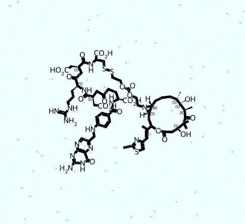 C/C(=C\c1csc(C)n1)C1C[C@H]2[C@@H](CCC[C@H](C)[C@H](O)[C@@H](C)C(=O)C(C)(C)[C@@H](O)CC(=O)O1)N2CCOC(=O)OCCSSCC(NC(=O)[C@H](CC(=O)O)CC(=O)[C@H](CCCNC(=N)N)NC(=O)[C@H](CC(=O)O)CC(=O)CC[C@H](NC(=O)c1ccc(NCc2cnc3nc(N)[nH]c(=O)c3n2)cc1)C(=O)O)C(=O)O